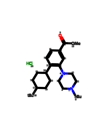 CCCCN1CCN(c2cc(C(=O)OC)ccc2C2CCC(C(C)(C)C)CC2)CC1.Cl